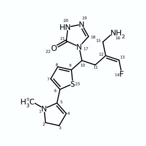 CN1CCC=C1c1ccc(C(C/C(=C\F)CN)n2cn[nH]c2=O)s1